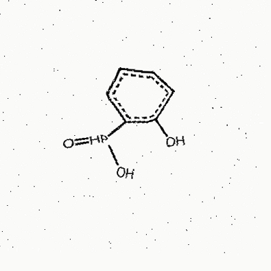 O=[PH](O)c1ccccc1O